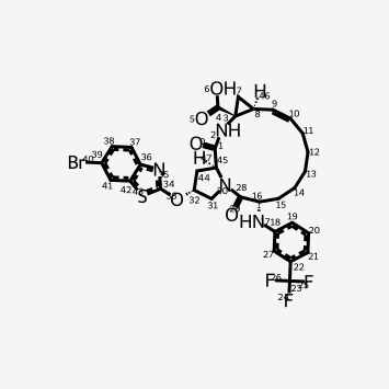 O=C1N[C@]2(C(=O)O)C[C@H]2/C=C\CCCCC[C@H](Nc2cccc(C(F)(F)F)c2)C(=O)N2C[C@H](Oc3nc4ccc(Br)cc4s3)C[C@@H]12